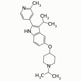 Cc1cc(-c2[nH]c3ccc(OC4CCN(C(C)C)CC4)cc3c2C(C)C)ccn1